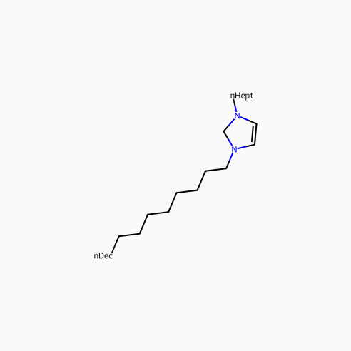 CCCCCCCCCCCCCCCCCCN1C=CN(CCCCCCC)C1